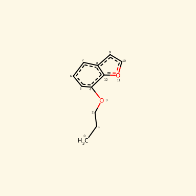 CCCOc1cccc2ccoc12